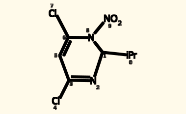 CC(C)C1N=C(Cl)C=C(Cl)N1[N+](=O)[O-]